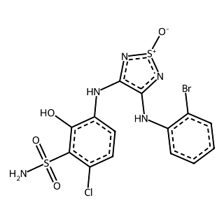 NS(=O)(=O)c1c(Cl)ccc(Nc2n[s+]([O-])nc2Nc2ccccc2Br)c1O